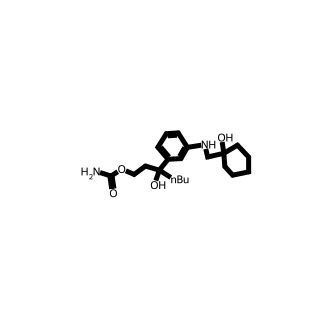 CCCCC(O)(CCOC(N)=O)c1cccc(NCC2(O)CCCCC2)c1